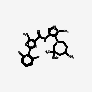 COC1(C)CC(N)CCN(c2c(NC(=O)c3nc(-c4c(F)cccc4F)sc3N)cnn2C)C1